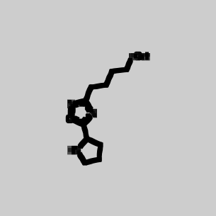 CCCCCCCCCCCCc1noc(C2CCCN2)n1